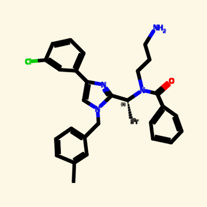 Cc1cccc(Cn2cc(-c3cccc(Cl)c3)nc2[C@@H](C(C)C)N(CCCN)C(=O)c2ccccc2)c1